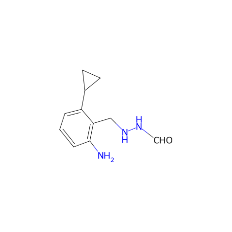 Nc1cccc(C2CC2)c1CNNC=O